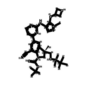 Cn1ncc(Nc2nccc(-c3cc(C#N)c4c(c3)[C@@](C)(CO[Si](C)(C)C(C)(C)C)CN4C(=O)OC(C)(C)C)n2)c1OC1COC1